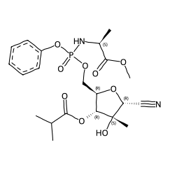 COC(=O)[C@H](C)NP(=O)(OC[C@H]1O[C@H](C#N)[C@](C)(O)[C@@H]1OC(=O)C(C)C)Oc1ccccc1